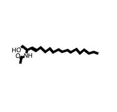 CCCCCCCCCCCCCC/C=C/C(CO)NC(C)=O